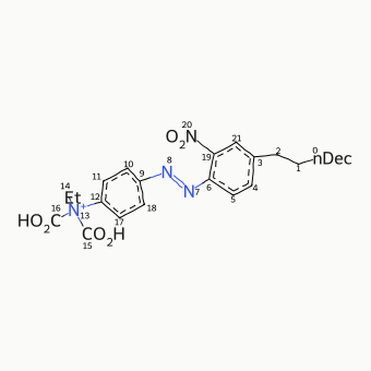 CCCCCCCCCCCCc1ccc(N=Nc2ccc([N+](CC)(C(=O)O)C(=O)O)cc2)c([N+](=O)[O-])c1